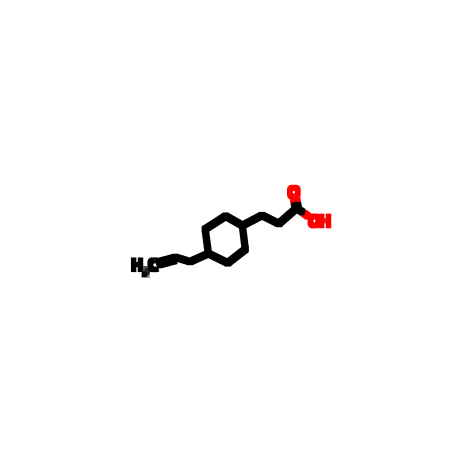 C=CCC1CCC(CCC(=O)O)CC1